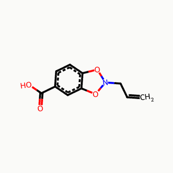 C=CCN1Oc2ccc(C(=O)O)cc2O1